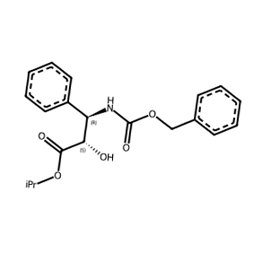 CC(C)OC(=O)[C@@H](O)[C@H](NC(=O)OCc1ccccc1)c1ccccc1